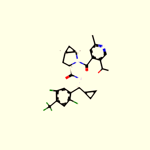 Cc1cc(C(=O)N2[C@@H](C(=O)N[C@@H](c3cc(F)c(C(F)(F)F)cc3F)C3CC3)C[C@H]3C[C@H]32)c(C(C)O)cn1